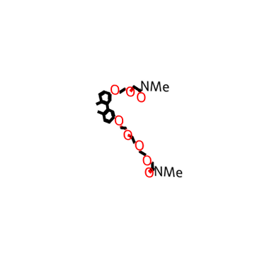 CNC(=O)COCCOCCOCCOc1ccc(C)c(-c2cc(OCCOCC(=O)NC)ccc2C)c1